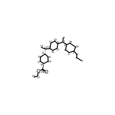 CCCC1CCC(C(C)C2CCC(C(C)[C@H]3CC[C@H](C(=O)OCC)CC3)CC2)CC1